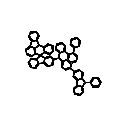 c1ccc(-c2ccccc2-c2ccccc2N(c2ccc(-c3ccc4c(c3)c3ccccc3n4-c3ccccc3)cc2)c2ccc3c(c2)C2(c4ccccc4-3)c3ccccc3-n3c4ccccc4c4cccc2c43)cc1